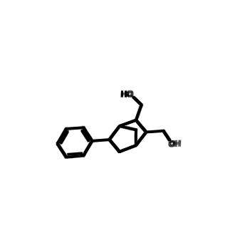 OCC1C2CC(c3ccccc3)C(C2)C1CO